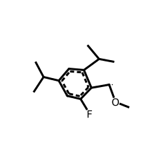 CO[CH]c1c(F)cc(C(C)C)cc1C(C)C